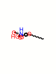 CCCCCCCCCCOc1ccc(C(=O)N[C@@H](CC[C]=O)C(=O)O)cc1